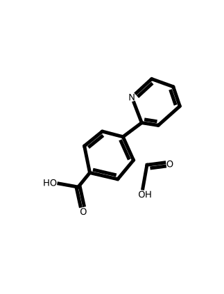 O=C(O)c1ccc(-c2ccccn2)cc1.O=CO